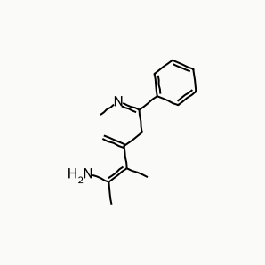 C=C(C/C(=N\C)c1ccccc1)/C(C)=C(/C)N